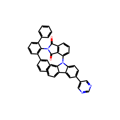 O=C1c2cccc(-n3c4ccccc4c4cc(-c5cncnc5)ccc43)c2C(=O)N1c1c(-c2ccccc2)cccc1-c1ccccc1